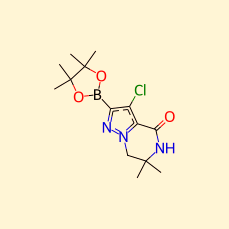 CC1(C)Cn2nc(B3OC(C)(C)C(C)(C)O3)c(Cl)c2C(=O)N1